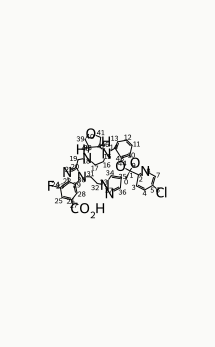 C[C@]1(c2ccc(Cl)cn2)Oc2cccc(N3CCN(Cc4nc5c(F)cc(C(=O)O)cc5n4CCn4cccn4)[C@@H]4COC[C@@H]43)c2O1